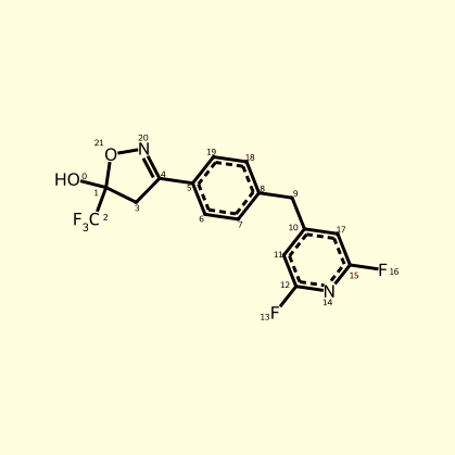 OC1(C(F)(F)F)CC(c2ccc(Cc3cc(F)nc(F)c3)cc2)=NO1